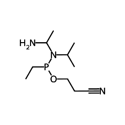 CCP(OCCC#N)N(C(C)C)C(C)N